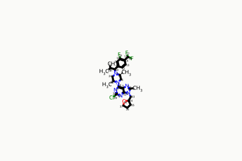 Cc1nc2c(N3C[C@@H](C)N(C(c4ccc(C(F)F)c(F)c4)C(C)C)C[C@@H]3C)nc(Cl)nc2n1CC1CCCO1